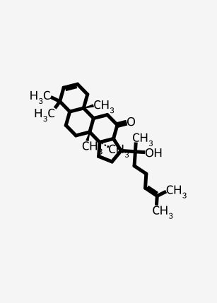 CC(C)=CCCC(C)(O)C1CC[C@]2(C)C1C(=O)CC1[C@@]3(C)CC=CC(C)(C)C3CC[C@]12C